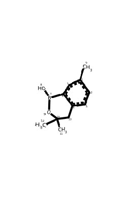 Cc1ccc2c(c1)B(O)OC(C)(C)C2